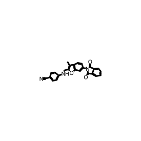 Cc1c(CNc2ccc(C#N)cc2)oc2cc(N3C(=O)c4ccccc4C3=O)ccc12